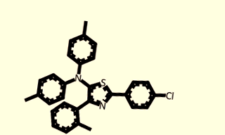 Cc1ccc(N(c2ccc(C)cc2)c2sc(-c3ccc(Cl)cc3)nc2-c2ccccc2C)cc1